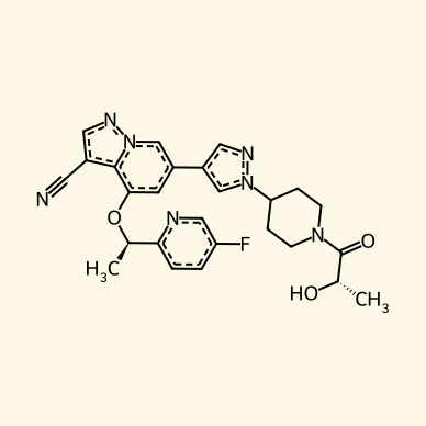 C[C@H](O)C(=O)N1CCC(n2cc(-c3cc(O[C@H](C)c4ccc(F)cn4)c4c(C#N)cnn4c3)cn2)CC1